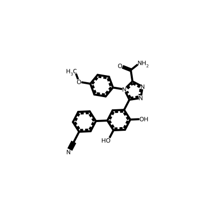 COc1ccc(-n2c(C(N)=O)nnc2-c2cc(-c3cccc(C#N)c3)c(O)cc2O)cc1